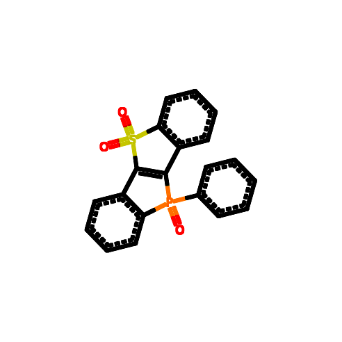 O=P1(c2ccccc2)C2=C(c3ccccc31)S(=O)(=O)c1ccccc12